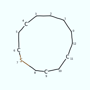 C1CCCCCCSCCCCC1